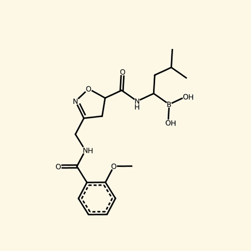 COc1ccccc1C(=O)NCC1=NOC(C(=O)NC(CC(C)C)B(O)O)C1